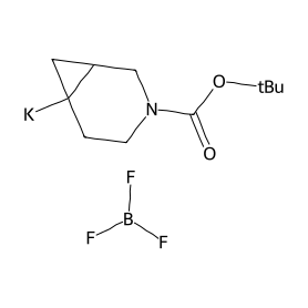 CC(C)(C)OC(=O)N1CC[C]2([K])CC2C1.FB(F)F